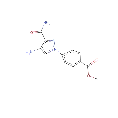 COC(=O)c1ccc(-n2cc(N)c(C(N)=O)n2)cc1